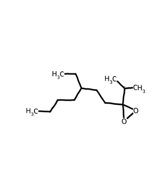 CCCCC(CC)CCC1([C](C)C)OO1